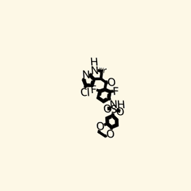 C[C@H]1Nc2ncc(Cl)cc2C1C(=O)c1c(F)ccc(NS(=O)(=O)c2ccc3c(c2)OCCO3)c1F